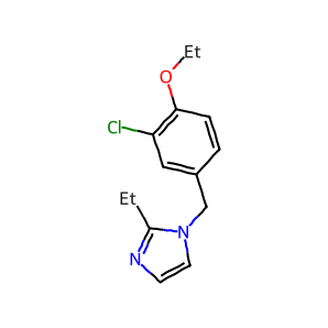 CCOc1ccc(Cn2ccnc2CC)cc1Cl